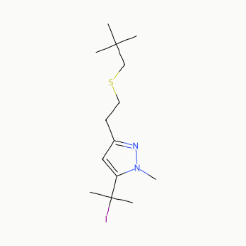 Cn1nc(CCSCC(C)(C)C)cc1C(C)(C)I